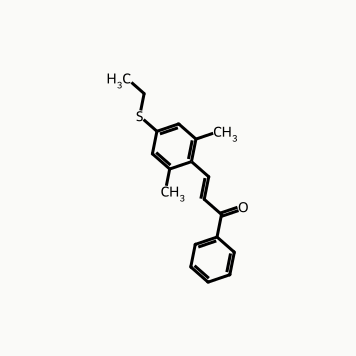 CCSc1cc(C)c(/C=C/C(=O)c2ccccc2)c(C)c1